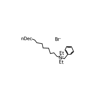 CCCCCCCCCCCCCCCCCC[N+](CC)(CC)Cc1ccccc1.[Br-]